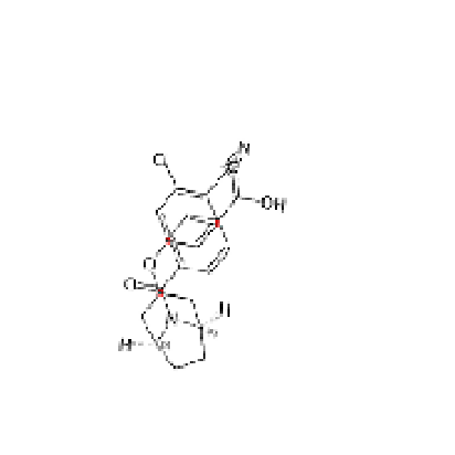 N#Cc1ccc(OC2C[C@H]3CC[C@@H](C2)N3C(=O)c2ccc(C(=O)O)cc2)cc1Cl